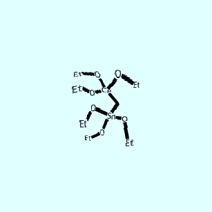 CC[O][Ge]([CH2][Sn]([O]CC)([O]CC)[O]CC)([O]CC)[O]CC